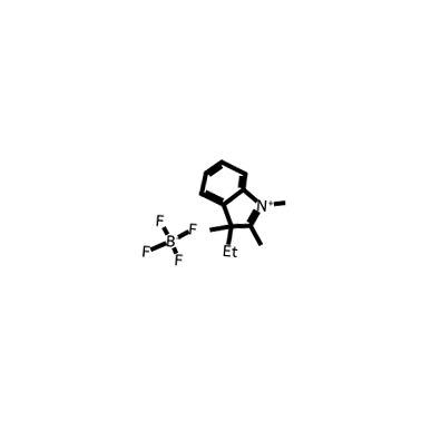 CCC1(C)C(C)=[N+](C)c2ccccc21.F[B-](F)(F)F